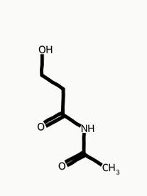 CC(=O)NC(=O)CCO